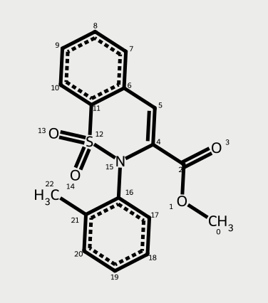 COC(=O)C1=Cc2ccccc2S(=O)(=O)N1c1ccccc1C